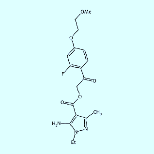 CCn1nc(C)c(C(=O)OCC(=O)c2ccc(OCCOC)cc2F)c1N